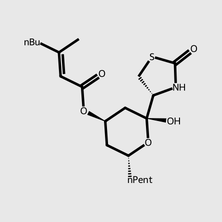 CCCCC[C@@H]1C[C@@H](OC(=O)C=C(C)CCCC)C[C@](O)([C@@H]2CSC(=O)N2)O1